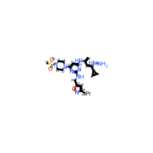 C=C(/C=C(\NN)C1CC1)Nc1cc(N2CCN(S(C)(=O)=O)CC2)nc(NCc2cc(C(C)C)no2)n1